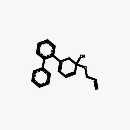 C=CCOC1(C#N)C=CC=C(c2ccccc2-c2ccccc2)C1